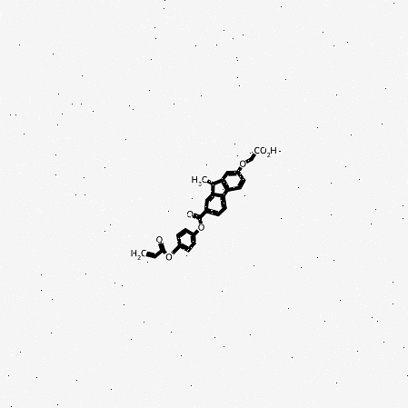 C=CC(=O)Oc1ccc(OC(=O)c2ccc3c(c2)C(C)c2cc(OCC(=O)O)ccc2-3)cc1